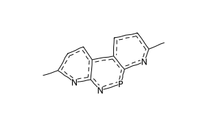 Cc1ccc2c(npc3nc(C)ccc32)n1